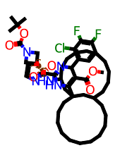 COC(=O)C1=C(C23CCCCCCCCCCCC(CCCCCCCCCC(NS(=O)(=O)C4CN(C(=O)OC(C)(C)C)C4)C2)C3)NC(c2nccs2)=NC1c1ccc(F)c(F)c1Cl